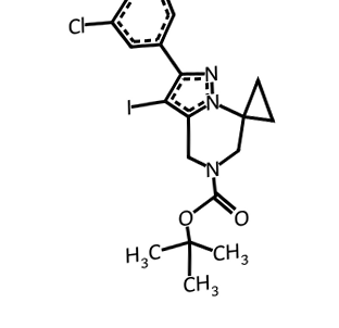 CC(C)(C)OC(=O)N1Cc2c(I)c(-c3cccc(Cl)c3)nn2C2(CC2)C1